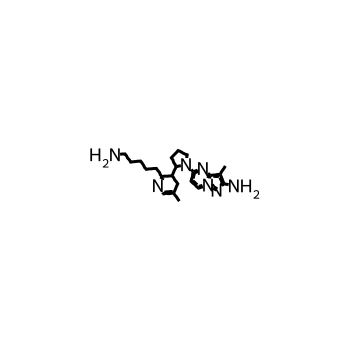 CC1=CN=C(CCCCCN)C(C2CCCN2c2ccn3nc(N)c(C)c3n2)C1